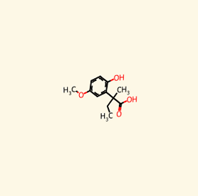 CCC(C)(C(=O)O)c1cc(OC)ccc1O